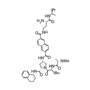 CN[C@@H](C)C(=O)N[C@H](C(=O)N1C[C@@H](NC(=O)c2ccc3cc(C(=O)NCC[C@H](N)C(=O)N[C@H](C)C(C)C)ccc3c2)C[C@H]1C(=O)N[C@@H]1CCCc2ccccc21)C(C)(C)C